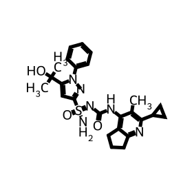 Cc1c(C2CC2)nc2c(c1NC(=O)N=S(N)(=O)c1cc(C(C)(C)O)n(-c3ccccc3)n1)CCC2